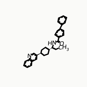 CCC(NC(=O)c1ccc(-c2ccccc2)cc1)[C@H]1CC[C@H](c2cnc3ccccc3c2)CC1